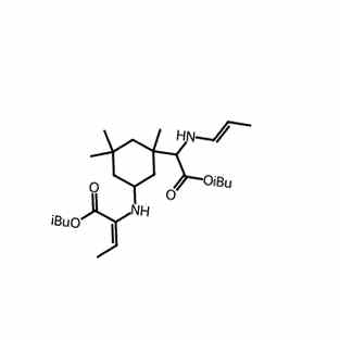 CC=CNC(C(=O)OCC(C)C)C1(C)CC(NC(=CC)C(=O)OCC(C)C)CC(C)(C)C1